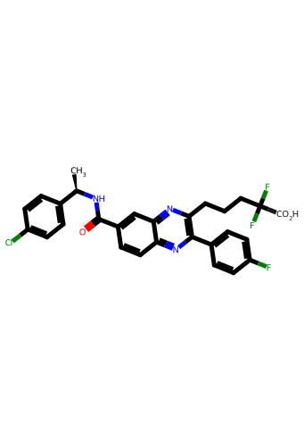 C[C@@H](NC(=O)c1ccc2nc(-c3ccc(F)cc3)c(CCCC(F)(F)C(=O)O)nc2c1)c1ccc(Cl)cc1